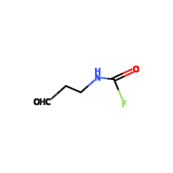 O=CCCNC(=O)F